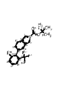 CC(C)(C)OC(=O)n1cc2ccc(-c3c(F)cccc3C(F)(F)F)cc2c1